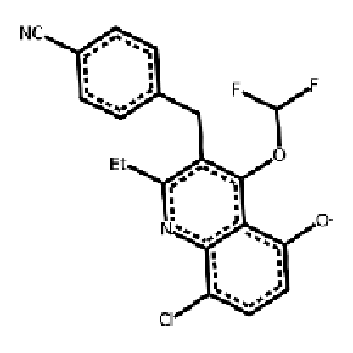 CCc1nc2c(Cl)ccc([O])c2c(OC(F)F)c1Cc1ccc(C#N)cc1